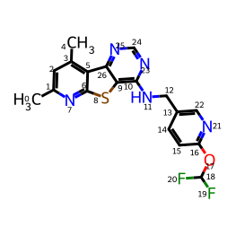 Cc1cc(C)c2c(n1)sc1c(NCc3ccc(OC(F)F)nc3)ncnc12